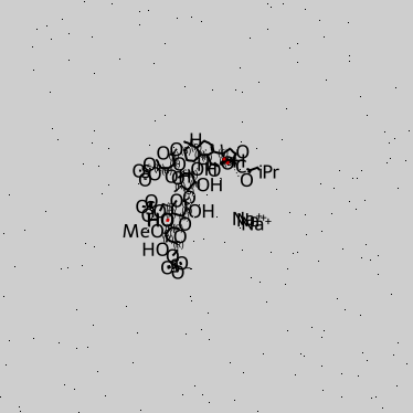 CO[C@@H]1[C@@H](O)[C@H](O[C@@H]2[C@@H](O)[C@H](O[C@H]3[C@H](O)[C@@H](O)[C@H](O[C@H]4[C@H](O[C@H]5CC[C@]6(C)[C@H]7CC[C@]89C(=O)O[C@@](C)(CC(=O)CC(C)C)[C@H]8C(=O)C[C@@]9(C)C7=CC[C@H]6C5(C)C)OC[C@@H](OS(=O)(=O)[O-])[C@@H]4O)O[C@@H]3C)O[C@H](COS(=O)(=O)[O-])[C@H]2O)O[C@H](COS(=O)(=O)[O-])[C@H]1O.[Na+].[Na+].[Na+]